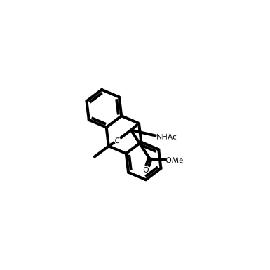 COC(=O)C1(NC(C)=O)CC2(C)c3ccccc3C1c1ccccc12